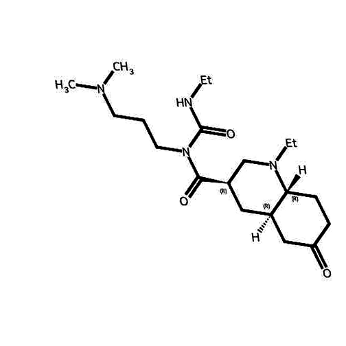 CCNC(=O)N(CCCN(C)C)C(=O)[C@@H]1C[C@@H]2CC(=O)CC[C@H]2N(CC)C1